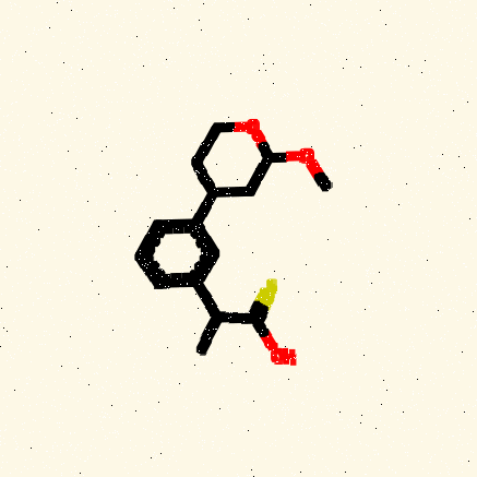 COC1CC(c2cccc(C(C)C(O)=S)c2)CCO1